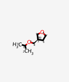 CC(C)OC[C@@H]1CCOC1